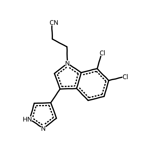 N#CCCn1cc(-c2cn[nH]c2)c2ccc(Cl)c(Cl)c21